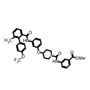 COC(=O)c1cccc(NC(=O)N2CCC(Oc3cccc(NC(=O)c4cccc(C)c4-c4ccc(OC(F)(F)F)cc4)c3)CC2)c1